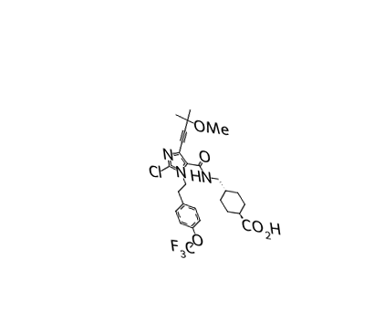 COC(C)(C)C#Cc1nc(Cl)n(CCc2ccc(OC(F)(F)F)cc2)c1C(=O)NC[C@H]1CC[C@H](C(=O)O)CC1